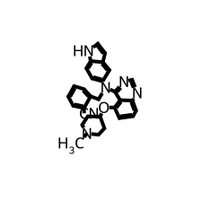 CN1CCC(Oc2cccc3ncnc(N(Cc4ccccc4C#N)c4ccc5[nH]ccc5c4)c23)CC1